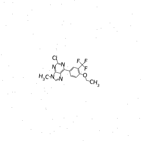 CCOc1ccc(-c2nc(Cl)nc3c2ncn3C)cc1C(F)(F)F